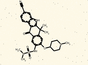 CN1CCC(Oc2cc3c(cc2NS(=O)(=O)N(C)C)C(=O)c2c([nH]c4cc(C#N)ccc24)C3(C)C)CC1